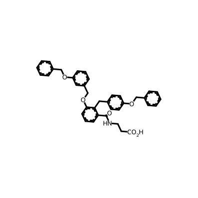 O=C(O)CCNC(=O)c1cccc(OCc2cccc(OCc3ccccc3)c2)c1Cc1ccc(OCc2ccccc2)cc1